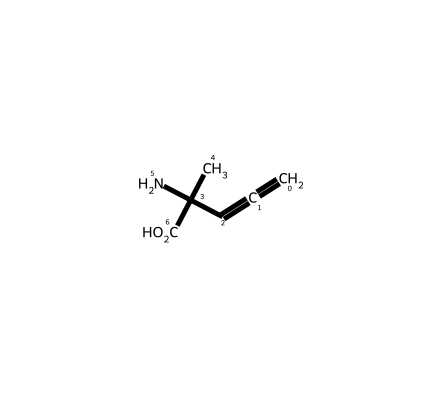 C=C=CC(C)(N)C(=O)O